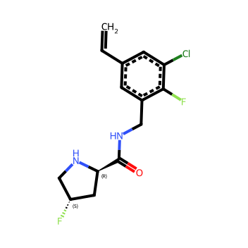 C=Cc1cc(Cl)c(F)c(CNC(=O)[C@H]2C[C@H](F)CN2)c1